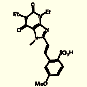 CCn1c(=O)c2c(nc(C=Cc3cc(OC)ccc3S(=O)(=O)O)n2C)n(CC)c1=O